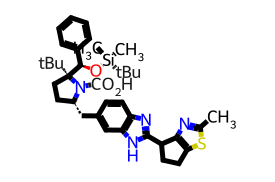 Cc1nc2c(s1)CCC2c1nc2ccc(C[C@@H]3CC[C@]([C@H](O[Si](C)(C)C(C)(C)C)c4ccccc4)(C(C)(C)C)N3C(=O)O)cc2[nH]1